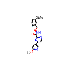 CCOc1ccc(-c2ccnc(C(=O)NOCc3cc(OC)ccc3F)n2)cn1